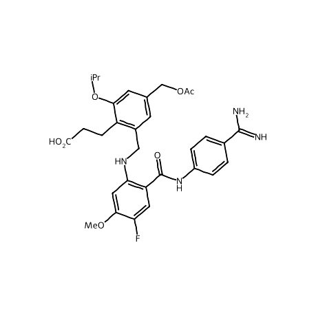 COc1cc(NCc2cc(COC(C)=O)cc(OC(C)C)c2CCC(=O)O)c(C(=O)Nc2ccc(C(=N)N)cc2)cc1F